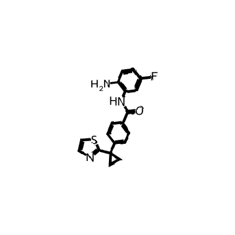 Nc1ccc(F)cc1NC(=O)c1ccc(C2(c3nccs3)CC2)cc1